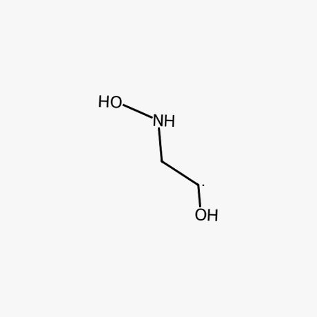 O[CH]CNO